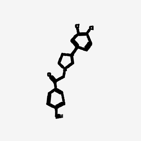 CC(C)(C)c1ccc(C(=O)CN2CC[C](c3ccc(Cl)c(Cl)c3)C2)cc1